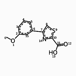 COc1cccc(-c2csc(C(=O)O)n2)c1